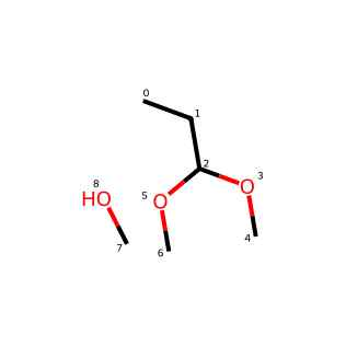 CCC(OC)OC.CO